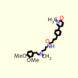 COc1ccc(CCN(C)CCCNC(=O)C/C=C/c2ccc(-c3ccc(=O)n(C)c3)cc2)cc1OC